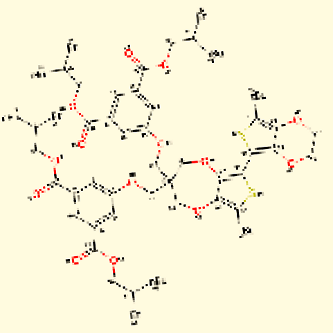 CCCCC(CC)COC(=O)c1cc(OCC2(COc3cc(C(=O)OCC(CC)CCCC)cc(C(=O)OCC(CC)CCCC)c3)COc3c(-c4sc(C(C)(C)C)c5c4OCCO5)sc(C(C)(C)C)c3OC2)cc(C(=O)OCC(CC)CCCC)c1